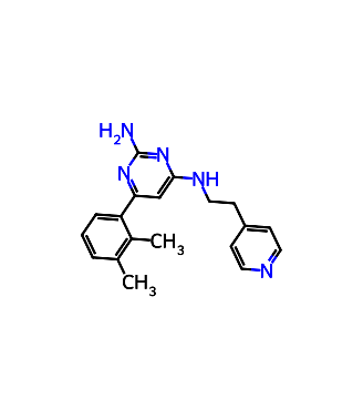 Cc1cccc(-c2cc(NCCc3ccncc3)nc(N)n2)c1C